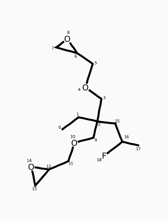 CCC(COCC1CO1)(COCC1CO1)CC(C)F